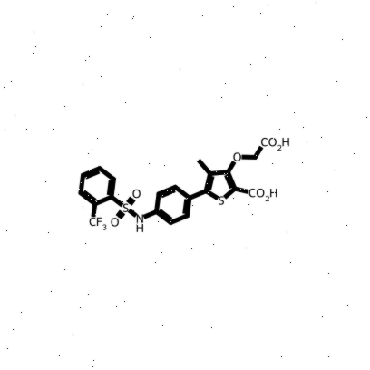 Cc1c(-c2ccc(NS(=O)(=O)c3ccccc3C(F)(F)F)cc2)sc(C(=O)O)c1OCC(=O)O